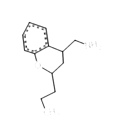 CCCC1CC(CN)c2ccccc2O1